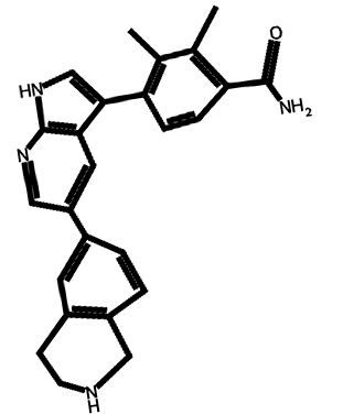 Cc1c(C(N)=O)ccc(-c2c[nH]c3ncc(-c4ccc5c(c4)CCNC5)cc23)c1C